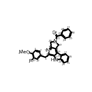 COc1ccc(Cc2nc3c(c4c2[nH]c2ccccc24)CN(C(=O)c2ccccc2)C3)cc1F